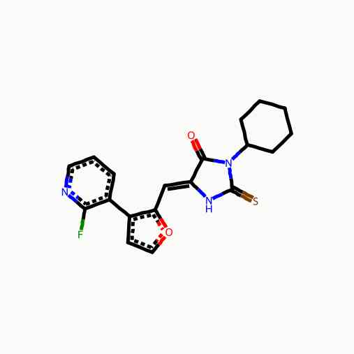 O=C1C(=Cc2occc2-c2cccnc2F)NC(=S)N1C1CCCCC1